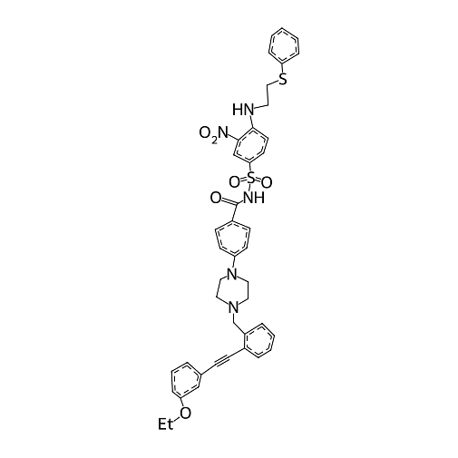 CCOc1cccc(C#Cc2ccccc2CN2CCN(c3ccc(C(=O)NS(=O)(=O)c4ccc(NCCSc5ccccc5)c([N+](=O)[O-])c4)cc3)CC2)c1